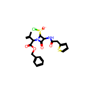 C=C(C)C(C(=O)OCc1ccccc1)N1C(=O)C(NC(=O)Cc2cccs2)C1[S+]([O-])Cl